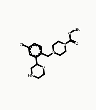 CC(C)(C)OC(=O)N1CCN(Cc2ccc(Cl)cc2C2CNCCO2)CC1